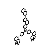 c1ccc2cc(-c3ccc4c(ccc5cc(N(c6ccc(-c7cccc8nnccc78)cc6)c6ccc(-c7cccc8nnccc78)cc6)ccc54)c3)ccc2c1